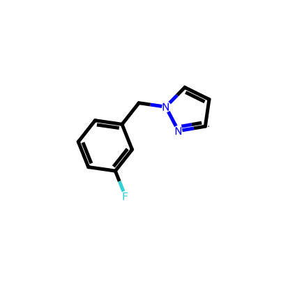 Fc1cccc(Cn2cc[c]n2)c1